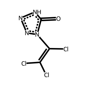 O=c1[nH]nnn1C(Cl)=C(Cl)Cl